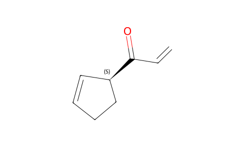 C=CC(=O)[C@@H]1C=CCC1